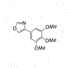 COc1cc(-c2co[c]n2)cc(OC)c1OC